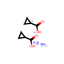 N.N.O=C(O)C1CC1.O=C(O)C1CC1